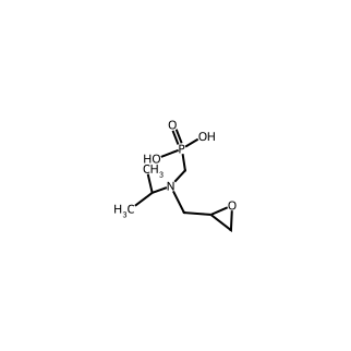 CC(C)N(CC1CO1)CP(=O)(O)O